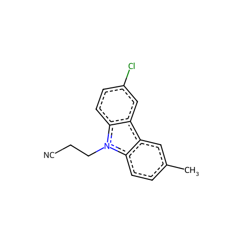 Cc1ccc2c(c1)c1cc(Cl)ccc1n2CCC#N